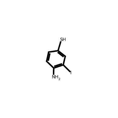 Nc1ccc(S)cc1I